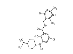 CCN(c1cc(Cl)cc(C(=O)NCc2c(C)[nH]c(C)cc2=O)c1C)[C@H]1CC[C@H](N(C)C)CC1